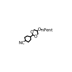 CCCCCOC1COC(C2CCC(C#N)CC2)OC1